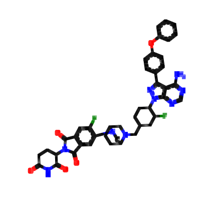 Nc1ncnc2c1c(-c1ccc(Oc3ccccc3)cc1)nn2C1CCC(CN2CC3CCC2CN3c2cc3c(cc2F)C(=O)N(C2CCC(=O)NC2=O)C3=O)CC1F